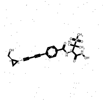 CC(C)([C@H](NC(=O)c1ccc(C#CC#C[C@@H]2C[C@H]2CO)cc1)C(=O)NO)S(C)(=O)=O